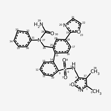 Cc1noc(NS(=O)(=O)c2ccccc2-c2ccc(-c3ncco3)cc2CN(C(N)=O)c2ccccc2)c1C